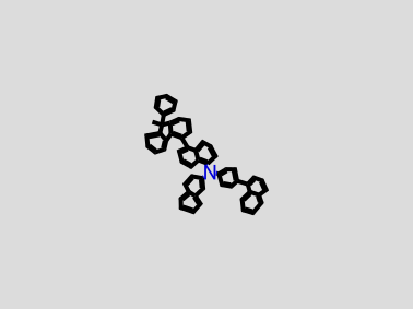 CC1(c2ccccc2)c2ccccc2-c2c(-c3cccc4c(N(c5ccc(-c6cccc7ccccc67)cc5)c5ccc6ccccc6c5)cccc34)cccc21